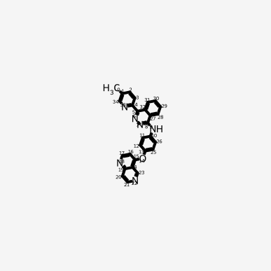 Cc1ccc(-c2nnc(Nc3ccc(Oc4ccnc5ccncc45)cc3)c3ccccc23)nc1